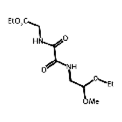 CCOC(=O)CNC(=O)C(=O)NCC(OC)OCC